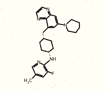 Cc1cnc(N[C@H]2CC[C@@H](Cc3cc(N4CCCCC4)cc4nccnc34)CC2)c(F)c1